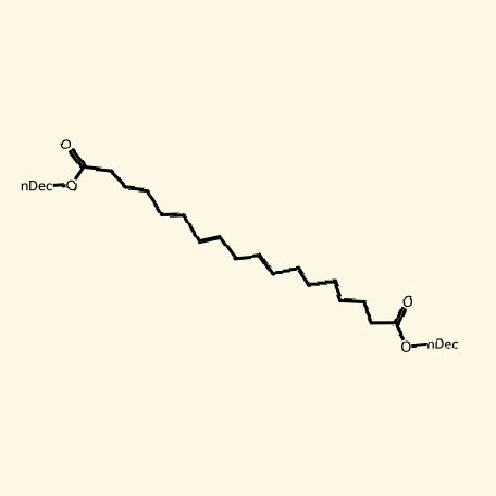 CCCCCCCCCCOC(=O)CCCCCCCCCCCCCCCCC(=O)OCCCCCCCCCC